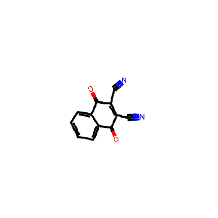 N#CC1=C(C#N)C(=O)c2ccccc2C1=O